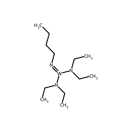 CCCC[N]=[W]([N](CC)CC)[N](CC)CC